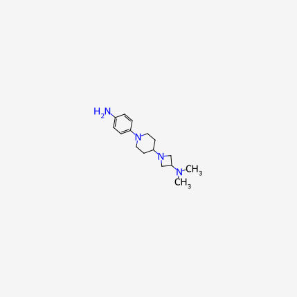 CN(C)C1CN(C2CCN(c3ccc(N)cc3)CC2)C1